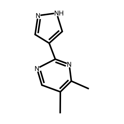 Cc1cnc(-c2cn[nH]c2)nc1C